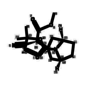 C=C[C@@]1([C@H](C#N)C(=O)OC)C[C@H]2CC[C@@H](C1)N2C(=O)OC(C)(C)C